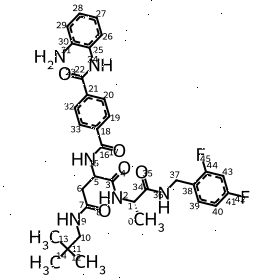 C[C@H](NC(=O)C(CC(=O)NCC(C)(C)C)NC(=O)c1ccc(C(=O)Nc2ccccc2N)cc1)C(=O)NCc1ccc(F)cc1F